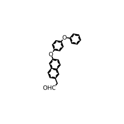 O=CCc1ccc2cc(Oc3ccc(Oc4ccccc4)cc3)ccc2c1